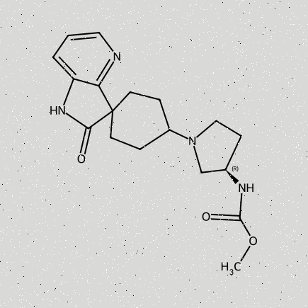 COC(=O)N[C@@H]1CCN(C2CCC3(CC2)C(=O)Nc2cccnc23)C1